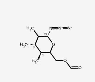 CC1[C@H](N=[N+]=[N-])OC(COC=O)[C@@H](C)[C@@H]1C